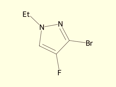 CCn1cc(F)c(Br)n1